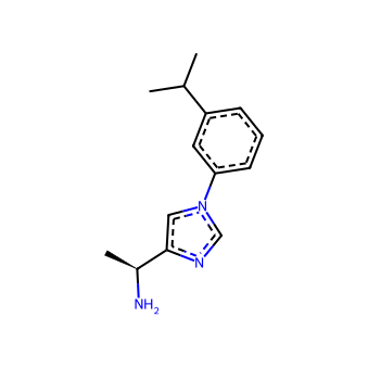 CC(C)c1cccc(-n2cnc([C@H](C)N)c2)c1